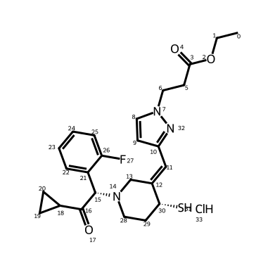 CCOC(=O)CCn1ccc(/C=C2\CN([C@H](C(=O)C3CC3)c3ccccc3F)CC[C@H]2S)n1.Cl